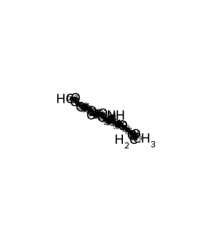 C#CC(=O)OCCCOc1ccc(CCOC(=O)C2CCC(C(=O)OCCc3ccc(CCc4ccc(OCCCCCCOC(=O)C(=C)C)cc4)c(C=N)c3)CC2)cc1